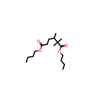 CCCCOC(=O)CCC(C)C(C)(C)C(=O)OCCCC